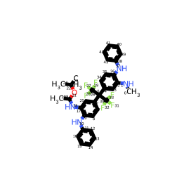 CNc1cc(C(c2ccc(Nc3ccccc3)c(NC(C)OC(C)C)c2)(C(F)(F)F)C(F)(F)F)ccc1Nc1ccccc1